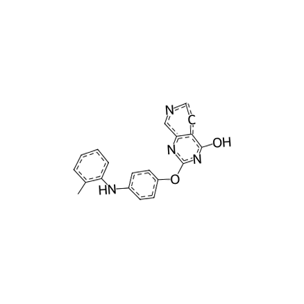 Cc1ccccc1Nc1ccc(Oc2nc(O)c3ccncc3n2)cc1